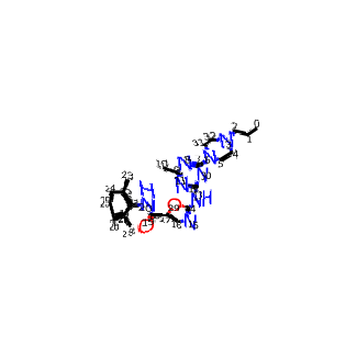 CCCN1CCN(c2nc(C)nc(Nc3ncc(C(=O)Nc4c(C)cccc4C)o3)n2)CC1